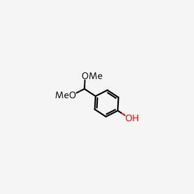 COC(OC)c1ccc(O)cc1